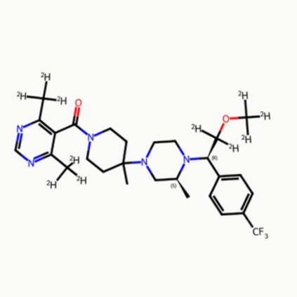 [2H]C([2H])([2H])OC([2H])([2H])[C@@H](c1ccc(C(F)(F)F)cc1)N1CCN(C2(C)CCN(C(=O)c3c(C([2H])([2H])[2H])ncnc3C([2H])([2H])[2H])CC2)C[C@@H]1C